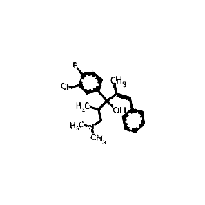 CC(=Cc1ccccc1)C(O)(c1ccc(F)c(Cl)c1)C(C)CN(C)C